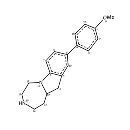 COc1ccc(-c2ccc3c(c2)CC2CCNCCN32)cc1